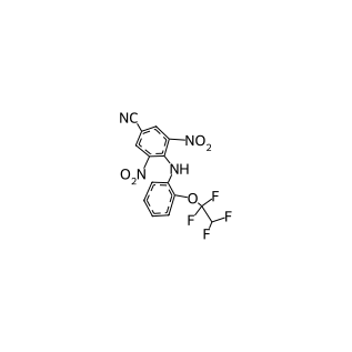 N#Cc1cc([N+](=O)[O-])c(Nc2ccccc2OC(F)(F)C(F)F)c([N+](=O)[O-])c1